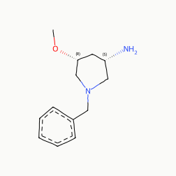 CO[C@@H]1C[C@H](N)CN(Cc2ccccc2)C1